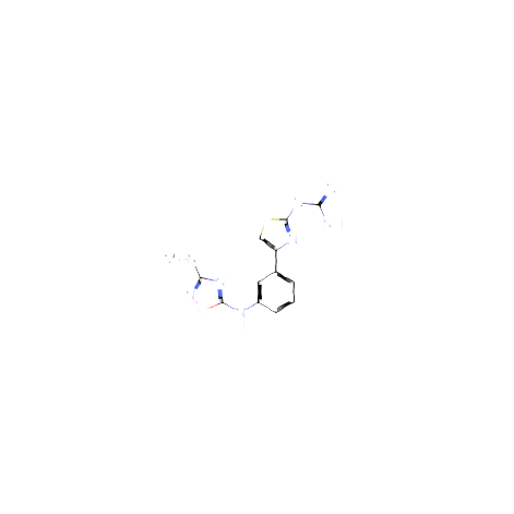 CNc1noc(Nc2cccc(-c3csc(NC(=N)N)n3)c2)n1